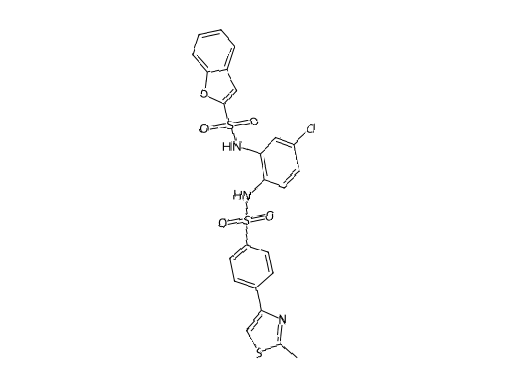 Cc1nc(-c2ccc(S(=O)(=O)Nc3ccc(Cl)cc3NS(=O)(=O)c3cc4ccccc4o3)cc2)cs1